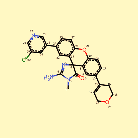 CN1C(=O)C2(N=C1N)c1cc(C3=CCOCC3)ccc1Oc1ccc(-c3cncc(Cl)c3)cc12